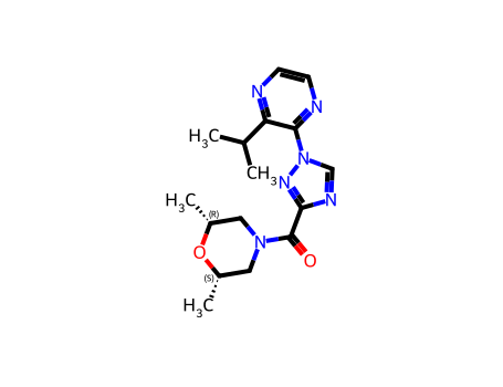 CC(C)c1nccnc1-n1cnc(C(=O)N2C[C@@H](C)O[C@@H](C)C2)n1